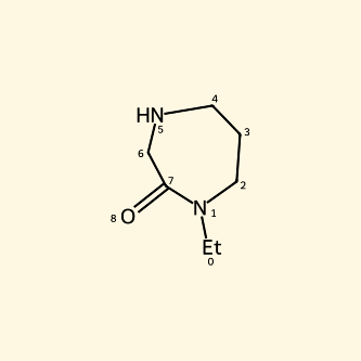 [CH2]CN1CCCNCC1=O